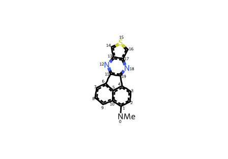 CNc1ccc2c3c(cccc13)-c1nc3cscc3nc1-2